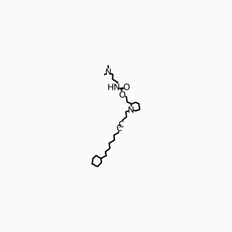 CN(C)CCCNC(=O)OCCC1CCCCN1CCCCCCCCCCCCC1CCCCC1